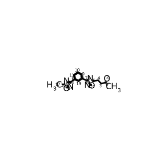 CC(=O)CCc1nc(-c2cccc(-c3noc(C)n3)c2)no1